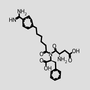 N=C(N)c1ccc(CCCCCC(=O)N(C(=O)[C@@H](N)CC(=O)O)[C@@H](Cc2ccccc2)C(=O)O)cc1